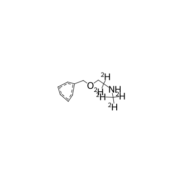 [2H]C([2H])([2H])NC([2H])([2H])COCc1ccccc1